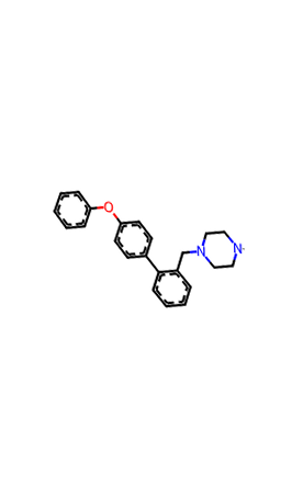 c1ccc(Oc2ccc(-c3ccccc3CN3CC[N]CC3)cc2)cc1